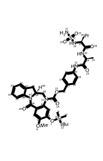 COc1cc2c(cc1O[Si](C)(C)C(C)(C)C)N(C(=O)OCc1ccc(NC(=O)[C@H](C)NC(=O)[C@@H](NS(N)(=O)=O)C(C)C)cc1)C[C@@H]1Cc3ccccc3N1C2=O